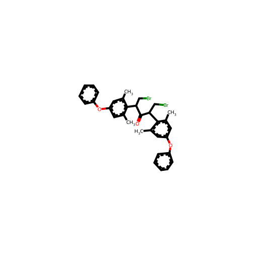 Cc1cc(Oc2ccccc2)cc(C)c1C(CBr)C(=O)C(CBr)c1c(C)cc(Oc2ccccc2)cc1C